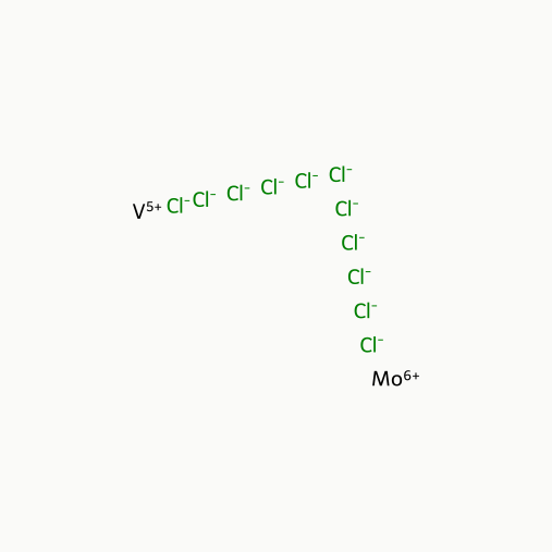 [Cl-].[Cl-].[Cl-].[Cl-].[Cl-].[Cl-].[Cl-].[Cl-].[Cl-].[Cl-].[Cl-].[Mo+6].[V+5]